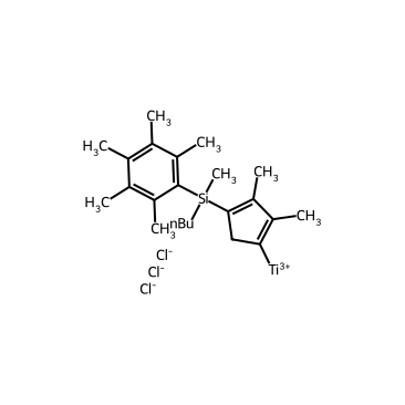 CCCC[Si](C)(C1=C(C)C(C)=[C]([Ti+3])C1)c1c(C)c(C)c(C)c(C)c1C.[Cl-].[Cl-].[Cl-]